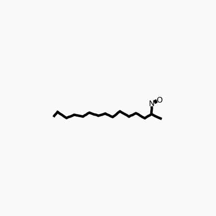 CCCCCCCCCCCCCC(C)N=O